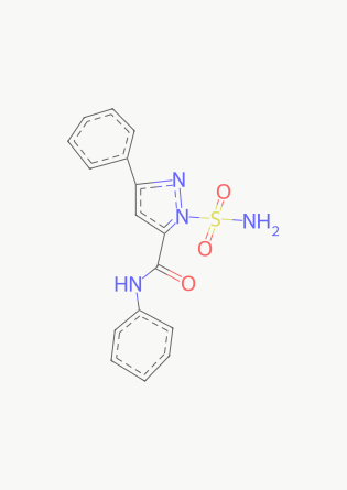 NS(=O)(=O)n1nc(-c2ccccc2)cc1C(=O)Nc1ccccc1